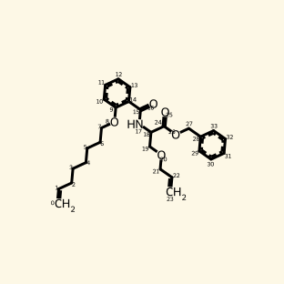 C=CCCCCCCOc1ccccc1C(=O)NC(COCC=C)C(=O)OCc1ccccc1